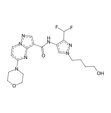 O=C(Nc1cn(CCCCO)nc1C(F)F)c1cnn2ccc(N3CCOCC3)nc12